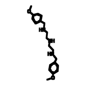 COc1ccc(CNCCNCCNCc2ccc(OC)cc2)cc1